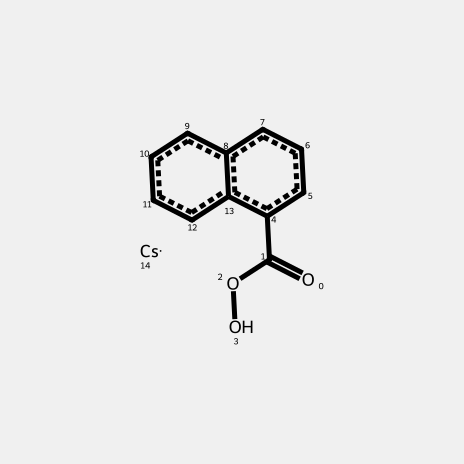 O=C(OO)c1cccc2ccccc12.[Cs]